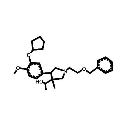 COc1ccc(C2CN(CCOCc3ccccc3)CC2(C)C(C)O)cc1OC1CCCC1